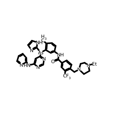 CCN1CCN(Cc2ccc(C(=O)Nc3ccc(C)c([As](c4cc(Nc5ccccn5)ncn4)c4ncc[nH]4)c3)cc2C(F)(F)F)CC1